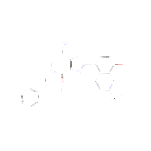 COc1ccc(-c2nc(C(=O)N[C@@H](C)[C@H](O)c3ccccc3)c(CN)o2)c2ccc(C(F)(F)F)nc12